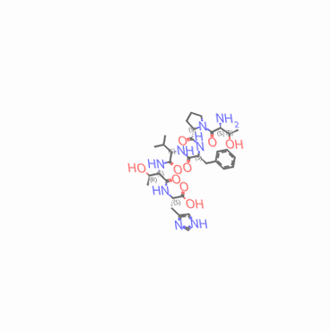 CC(C)[C@H](NC(=O)[C@H](Cc1ccccc1)NC(=O)[C@@H]1CCCN1C(=O)[C@@H](N)[C@@H](C)O)C(=O)N[C@H](C(=O)N[C@@H](Cc1c[nH]cn1)C(=O)O)[C@@H](C)O